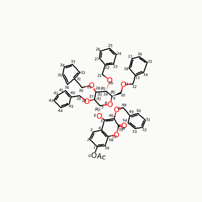 CC(=O)Oc1ccc2c(O[C@H]3O[C@H](COCc4ccccc4)[C@@H](OCc4ccccc4)[C@H](OCc4ccccc4)[C@@H]3OCc3ccccc3)c(OCc3ccccc3)c(=O)oc2c1